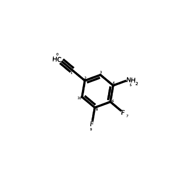 C#Cc1cc(N)c(F)c(F)c1